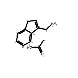 CC(=O)O.NCC1=CCc2ccccc21